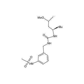 [CH2]C(C[C@@H](CCCC)NC(=O)NCc1cccc(NS(C)(=O)=O)c1)OC